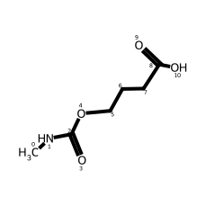 CNC(=O)OCCCC(=O)O